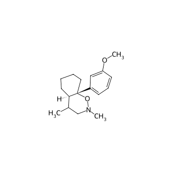 COc1cccc([C@]23CCCC[C@@H]2C(C)CN(C)O3)c1